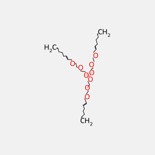 C=CCCCC=CCOCCOCCOB(OCCOCCOCC=CCCCC=C)OCCOCCOCC=CCCCC=C